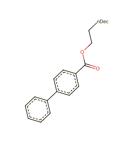 CCCCCCCCCCCCOC(=O)c1ccc(-c2ccccc2)cc1